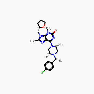 CC[C@@H]1CN(c2nc(=O)n(C)c3c2nc(C)n3C[C@@H]2CCCO2)[C@@H](C)CN1[C@H](CC)c1ccc(Cl)cc1